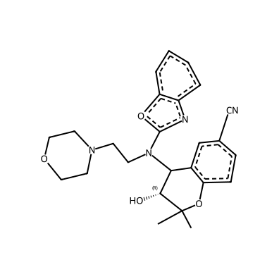 CC1(C)Oc2ccc(C#N)cc2C(N(CCN2CCOCC2)c2nc3ccccc3o2)[C@H]1O